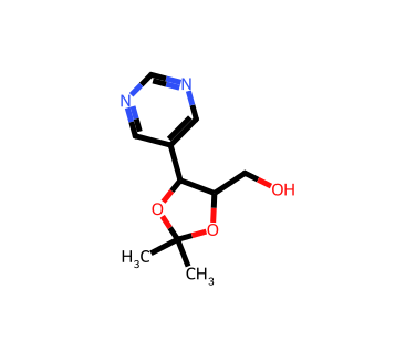 CC1(C)OC(CO)C(c2cncnc2)O1